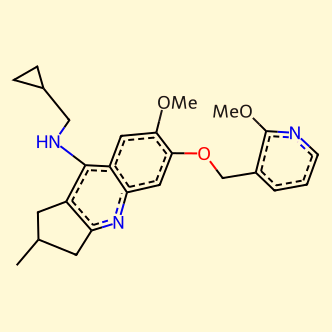 COc1cc2c(NCC3CC3)c3c(nc2cc1OCc1cccnc1OC)CC(C)C3